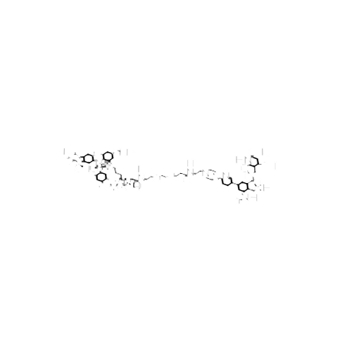 CCCOc1cc(OCCCCN(C)CC(=O)NCCOCCOCCC(=O)NCCN2CCN(c3ccc(-c4cc(NC(C)C)c(C=N)c(C(=O)NCc5c(C)cc(C)[nH]c5=O)c4)cn3)CC2)cc(Oc2cc3c(cc2NS(=O)(=O)c2ccc(OC)c(OC)c2)n(C)c(=O)n3C)c1